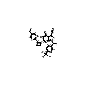 CCc1cnc([C@H]2CC[C@@H]2c2nc3c(c(C#N)nn3C(C)c3ccc(C(F)(F)F)nc3)c(=O)[nH]2)nc1